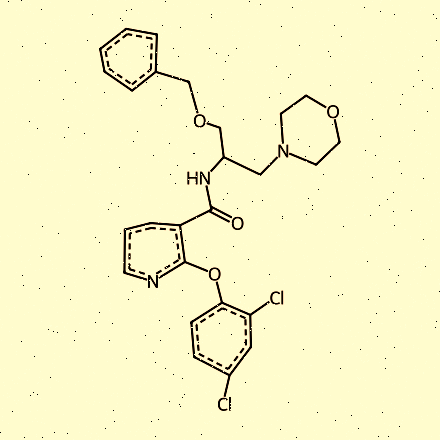 O=C(NC(COCc1ccccc1)CN1CCOCC1)c1cccnc1Oc1ccc(Cl)cc1Cl